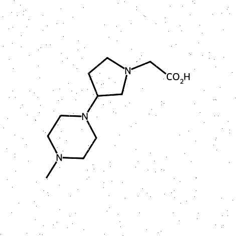 CN1CCN(C2CCN(CC(=O)O)C2)CC1